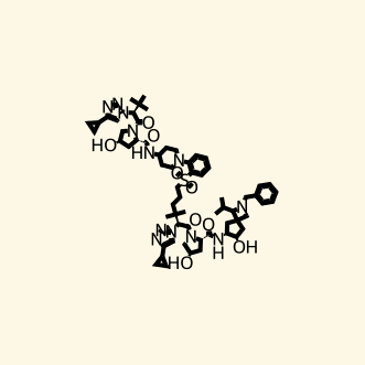 CC(C)C1N(Cc2ccccc2)CC12C[C@@H](O)[C@H](NC(=O)[C@@H]1C[C@@H](O)CN1C(=O)[C@@H](n1cc(C3CC3)nn1)C(C)(C)CCCS(=O)(=O)c1ccccc1N1CCC(NC(=O)[C@@H]3C[C@@H](O)CN3C(=O)[C@@H](n3cc(C4CC4)nn3)C(C)(C)C)CC1)C2